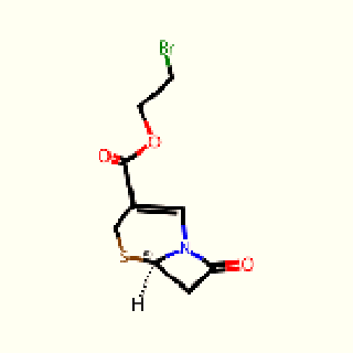 O=C(OCCBr)C1=CN2C(=O)C[C@H]2SC1